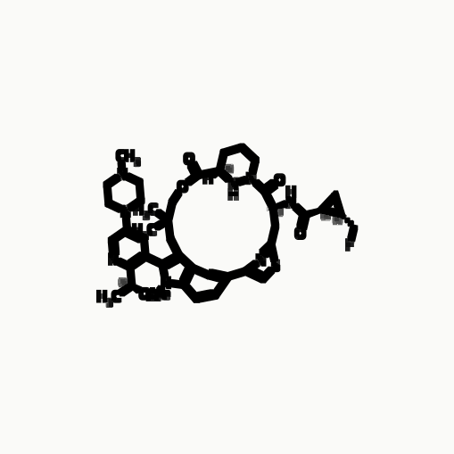 CCn1c(-c2cc(N3CCN(C)CC3)cnc2[C@H](C)OC)c2c3cc(ccc31)-c1csc(n1)C[C@H](NC(=O)[C@H]1C[C@@H]1CF)C(=O)N1CCC[C@H](N1)C(=O)OCC(C)(C)C2